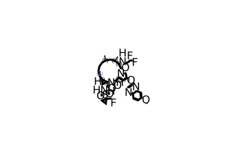 COc1ccc2ncc(O[C@@H]3C[C@H]4C(=O)N[C@]5(C(=O)NS(=O)(=O)C6(CF)CC6)C[C@H]5/C=C\CC[C@@H](C)C[C@@H](C)[C@H](NCC(F)F)C(=O)N4C3)nc2c1